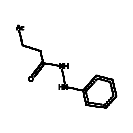 CC(=O)CCC(=O)NNc1ccccc1